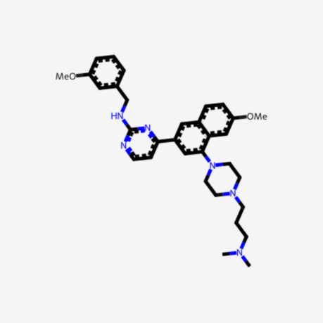 COc1cccc(CNc2nccc(-c3cc(N4CCN(CCCN(C)C)CC4)c4cc(OC)ccc4c3)n2)c1